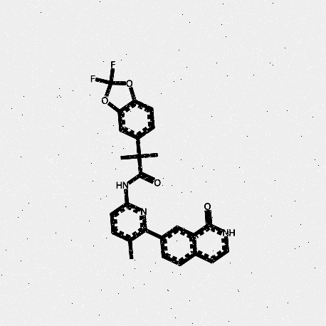 Cc1ccc(NC(=O)C(C)(C)c2ccc3c(c2)OC(F)(F)O3)nc1-c1ccc2cc[nH]c(=O)c2c1